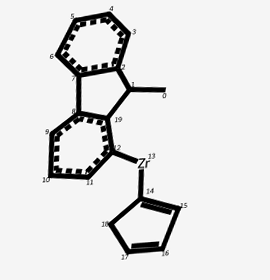 CC1c2ccccc2-c2ccc[c]([Zr][C]3=CC=CC3)c21